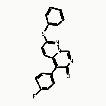 O=c1ncn2nc(Sc3ccccc3)ccc2c1-c1ccc(F)cc1